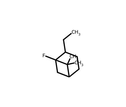 CCC1CCC2CC1(F)C2(C)C